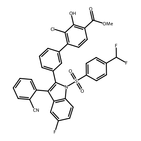 COC(=O)c1ccc(-c2cccc(-c3c(-c4ccccc4C#N)c4cc(F)ccc4n3S(=O)(=O)c3ccc(C(F)F)cc3)c2)c(Cl)c1O